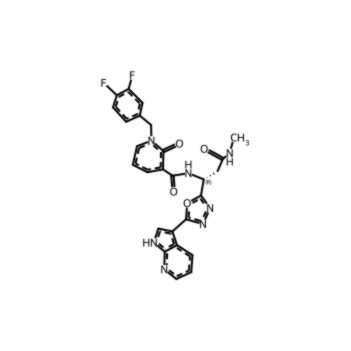 CNC(=O)C[C@@H](NC(=O)c1cccn(Cc2ccc(F)c(F)c2)c1=O)c1nnc(-c2c[nH]c3ncccc23)o1